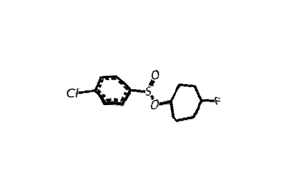 O=S(OC1CCC(F)CC1)c1ccc(Cl)cc1